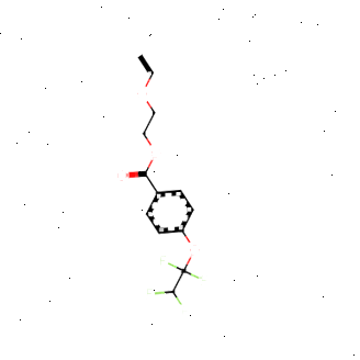 C=COCCOC(=O)c1ccc(OC(F)(F)C(F)F)cc1